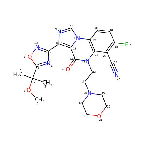 COC(C)(C)c1nc(-c2ncn3c2c(=O)n(CCN2CCOCC2)c2c(C#N)c(F)ccc23)no1